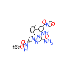 Cc1cccc(C)c1-c1cc(Nc2nc(N3CCC[C@H](NC(=O)OC(C)(C)C)C3)ncc2C(N)=O)cc(C(=O)N2CCOCC2)c1